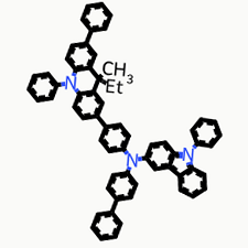 CCC1(C)c2cc(-c3ccccc3)ccc2N(c2ccccc2)c2ccc(-c3ccc(N(c4ccc(-c5ccccc5)cc4)c4ccc5c(c4)c4ccccc4n5-c4ccccc4)cc3)cc21